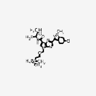 CC(O)C(C)NC(=O)c1cn(COCC[Si](C)(C)C)c2ncc(-c3nn(C)c4cc(Cl)ccc34)nc12